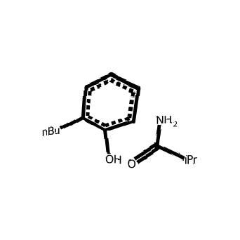 CC(C)C(N)=O.CCCCc1ccccc1O